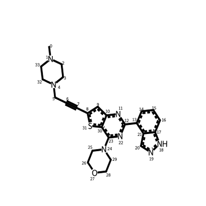 CN1CCN(CC#Cc2cc3nc(-c4cccc5[nH]ncc45)nc(N4CCOCC4)c3s2)CC1